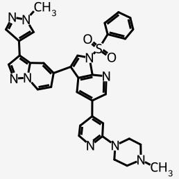 CN1CCN(c2cc(-c3cnc4c(c3)c(-c3ccn5ncc(-c6cnn(C)c6)c5c3)cn4S(=O)(=O)c3ccccc3)ccn2)CC1